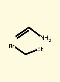 C=CN.CCCBr